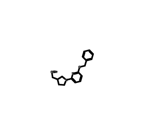 COCC1CCN(c2cccc(OCc3ccccc3)n2)C1